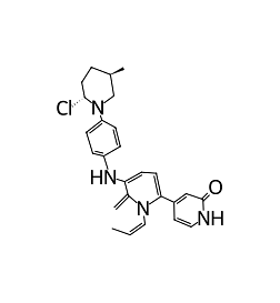 C=C1C(Nc2ccc(N3C[C@H](C)CC[C@H]3Cl)cc2)=CC=C(c2cc[nH]c(=O)c2)N1/C=C\C